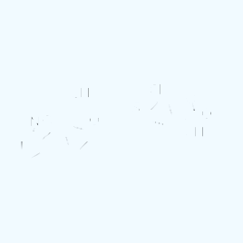 CCCc1c(OCCCSc2ccc(C(C)C(=O)O)cc2Cl)cccc1-c1onc2ccccc12